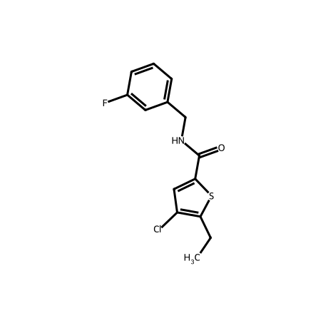 CCc1sc(C(=O)NCc2cccc(F)c2)cc1Cl